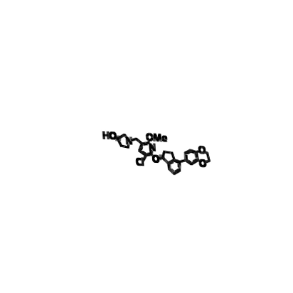 COc1nc(O[C@H]2CCc3c(-c4ccc5c(c4)OCCO5)cccc32)c(Cl)cc1CN1CC[C@@H](O)C1